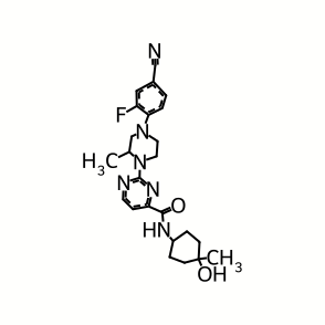 CC1CN(c2ccc(C#N)cc2F)CCN1c1nccc(C(=O)NC2CCC(C)(O)CC2)n1